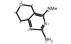 CNc1nc(N)nc2c1COCC2